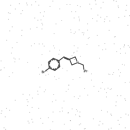 C[C](C)CN1CC(=Cc2ccc(Br)cc2)C1